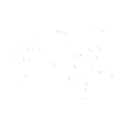 CCc1nc(C)oc1C(=O)Nc1nc2cc(C(N)=O)cc(OCCCN(C)C(=O)OCc3ccc(NC(=O)[C@H](C)NC(=O)[C@@H](NC(=O)CCN4C(=O)C=CC4=O)C(C)C)cc3)c2n1C/C=C/Cn1c2cc(-c3cc(C)nn3CC)cnc2c2cc(C(N)=O)cc(OC)c21